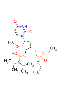 CCOP(=O)(CC[C@H]1C[C@@H](n2ccc(=O)[nH]c2=O)[C@H](OC)[C@@H]1OP(O)N(C(C)C)C(C)C)OCC